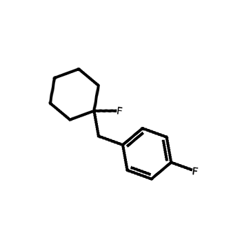 Fc1ccc(CC2(F)CCCCC2)cc1